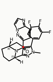 Cn1nc2c(c1-c1cc(F)c(F)c(F)c1)C[C@H]1CCC[C@@H]2N1C(=O)c1ccc2nccn2n1